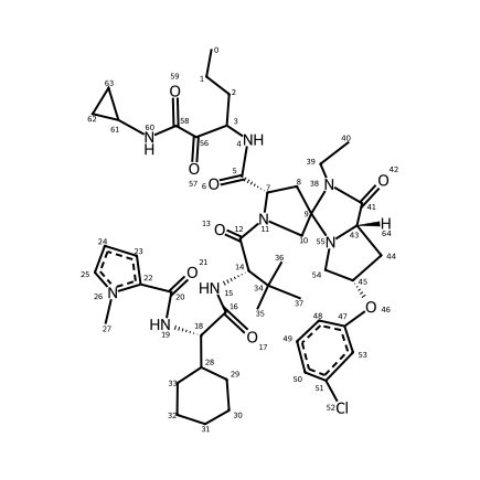 CCCC(NC(=O)[C@@H]1CC2(CN1C(=O)[C@@H](NC(=O)[C@@H](NC(=O)c1cccn1C)C1CCCCC1)C(C)(C)C)N(CC)C(=O)[C@@H]1C[C@H](Oc3cccc(Cl)c3)CN12)C(=O)C(=O)NC1CC1